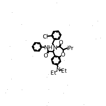 CCN(CC)c1ccc2c(c1)OC(C(C)C)C(=O)N(Cc1ccccc1Cl)C2C(=O)Nc1ccccc1